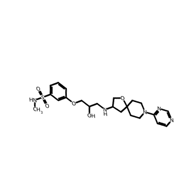 CNS(=O)(=O)c1cccc(OCC(O)CNC2COC3(CCN(c4ccncn4)CC3)C2)c1